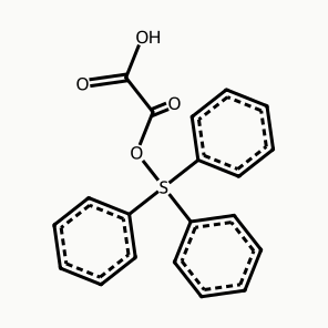 O=C(O)C(=O)OS(c1ccccc1)(c1ccccc1)c1ccccc1